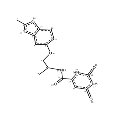 Cc1nc2cc(OCC(C)NC(=O)c3cc(=O)[nH]c(=O)[nH]3)ccc2s1